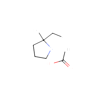 CC(=O)O.CCC1(C)CCCN1